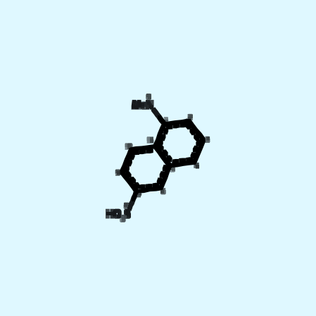 CNc1cccc2cc(S(=O)(=O)O)ccc12